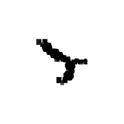 CCCCCc1cc(Cc2ccc(N)cc2)ccc1CCCCCc1ccc(Cc2ccc(N)cc2)cc1CCCCC